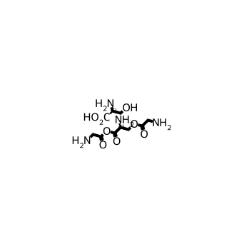 NCC(=O)OC[C@H](N)C(=O)OC(=O)CN.N[C@@H](CO)C(=O)O